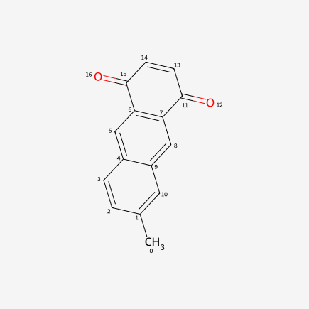 Cc1ccc2cc3c(cc2c1)C(=O)C=CC3=O